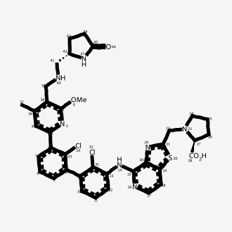 COc1nc(-c2cccc(-c3cccc(Nc4nccc5sc(CN6CCC[C@H]6C(=O)O)nc45)c3Cl)c2Cl)cc(C)c1CNC[C@@H]1CCC(=O)N1